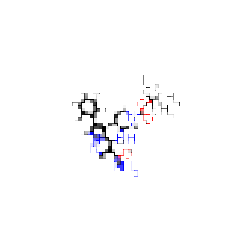 CC(C)(C)OC(=O)N1CCCC(Nc2c(C(N)=O)cnn3cc(-c4ccccc4)cc23)C1